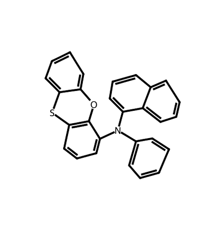 c1ccc(N(c2cccc3c2Oc2ccccc2S3)c2cccc3ccccc23)cc1